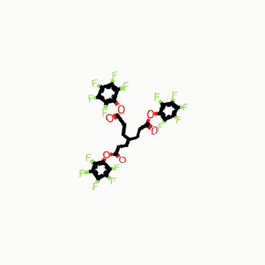 O=C(CCC(CCC(=O)Oc1c(F)c(F)c(F)c(F)c1F)CCC(=O)Oc1c(F)c(F)c(F)c(F)c1F)Oc1c(F)c(F)c(F)c(F)c1F